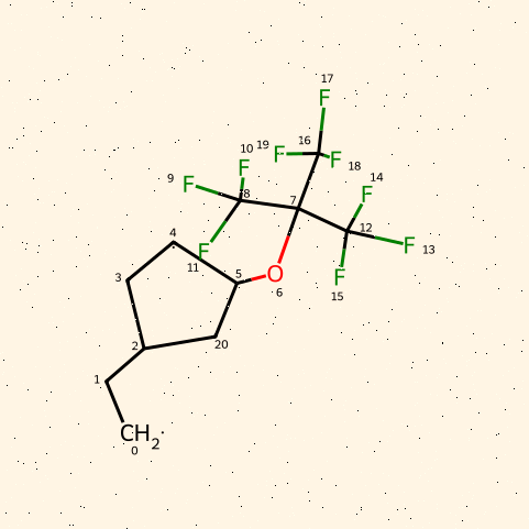 [CH2]CC1C[CH]C(OC(C(F)(F)F)(C(F)(F)F)C(F)(F)F)C1